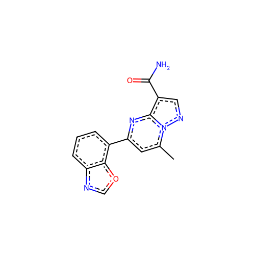 Cc1cc(-c2cccc3ncoc23)nc2c(C(N)=O)cnn12